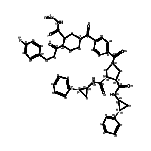 CCCCCCNC(=O)C1CN(C(=O)c2ccc(C(=O)N3C[C@@H](C(=O)N[C@H]4C[C@@H]4c4ccccc4)[C@H](C(=O)N[C@H]4C[C@@H]4c4ccccc4)C3)cc2)CCN1C(=O)CCc1ccc(F)cc1